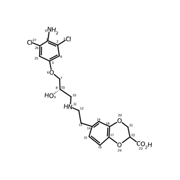 Nc1c(Cl)cc(OC[C@@H](O)CNCCc2ccc3c(c2)OCC(C(=O)O)O3)cc1Cl